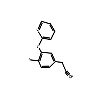 C#C[CH]c1ccc(F)c(Oc2ccccn2)c1